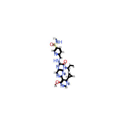 CCC(C)n1c(=O)c(NCc2ccc([S+]([O-])NC)cn2)nc2cnc(-c3c(OC)ncnc3C3CC3)nc21